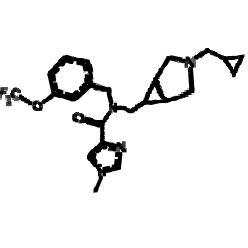 Cn1cnc(C(=O)N(Cc2cccc(OC(F)(F)F)c2)CC2C3CN(CC4CC4)CC32)c1